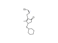 CC/C=C\CC1=C(C)C(SC2CCCCC2)CC1=O